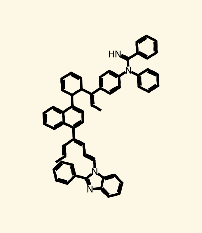 CC=C/C(=C\C=C\n1c(-c2ccccc2)nc2ccccc21)c1ccc(C2C=CC=CC2C(=CC)c2ccc(N(C(=N)c3ccccc3)c3ccccc3)cc2)c2ccccc12